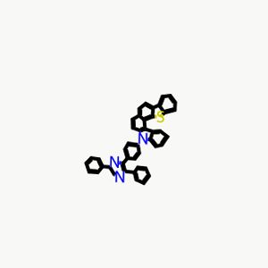 c1ccc(-c2cnc(-c3ccccc3)c(-c3ccc(-n4c5ccccc5c5c6c(ccc7c8ccccc8sc76)ccc54)cc3)n2)cc1